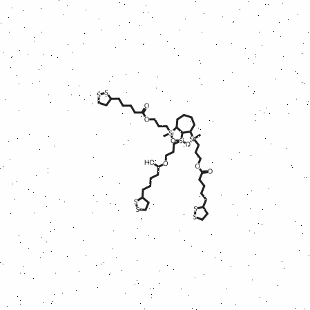 C[Si]1(CCCOC(=O)CCCCC2CCSS2)O[Si]2(CCCOC(O)CCCCC3CCSS3)O[Si](C)(CCCOC(=O)CCCCC3CCSS3)C3CCCCC1C32